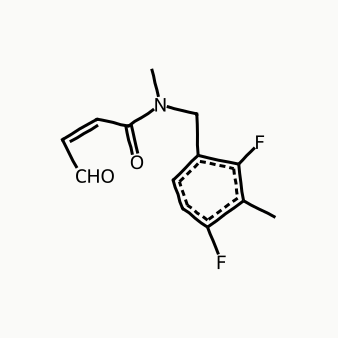 Cc1c(F)ccc(CN(C)C(=O)/C=C\C=O)c1F